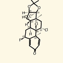 CC1(C)O[C@@H]2C[C@H]3[C@@H]4C[C@H](F)C5=CC(=O)C=C[C@]5(C)[C@@]4(Cl)[C@@H](Cl)C[C@]3(C)[C@]2(C(=O)O)O1